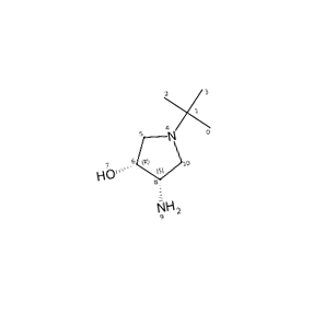 CC(C)(C)N1C[C@@H](O)[C@@H](N)C1